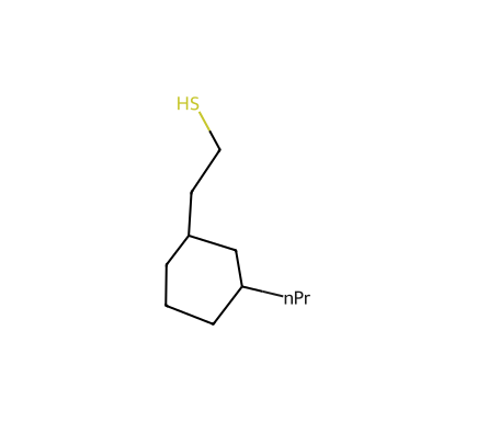 CCCC1CCCC(CCS)C1